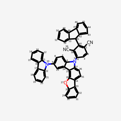 N#Cc1ccc(-n2c3ccc(-n4c5ccccc5c5ccccc54)cc3c3c4oc5ccccc5c4ccc32)c(C#N)c1C1c2ccccc2-c2ccccc21